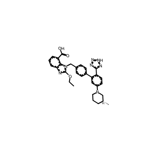 CCOc1nc2cccc(C(=O)O)c2n1Cc1ccc(-c2cc(N3CCC[C@@H](C)C3)ccc2-c2nn[nH]n2)cc1